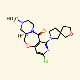 O=C(O)N1CCN2C(=O)c3c(cc(Cl)nc3N3CCC4(CCOC4)C3)OC[C@H]2C1